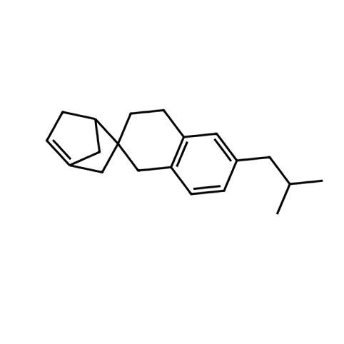 CC(C)Cc1ccc2c(c1)CCC1(CC3=CCC1C3)C2